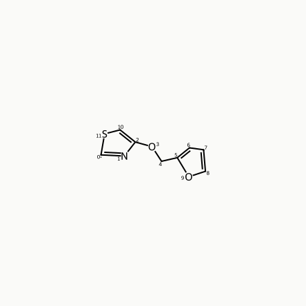 [c]1nc(OCc2ccco2)cs1